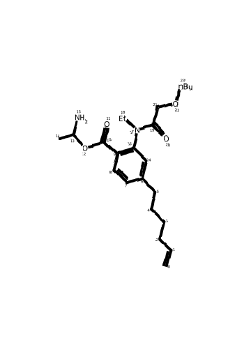 C=CCCCCc1ccc(C(=O)OC(C)N)c(N(CC)C(=O)COCCCC)c1